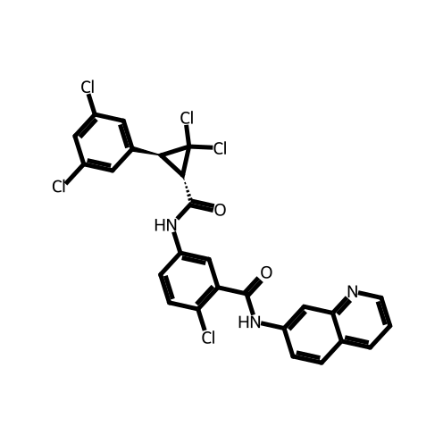 O=C(Nc1ccc2cccnc2c1)c1cc(NC(=O)[C@@H]2[C@@H](c3cc(Cl)cc(Cl)c3)C2(Cl)Cl)ccc1Cl